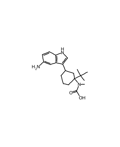 CN(C(=O)O)C1(C(C)(C)C)CCCC(c2c[nH]c3ccc(N)cc23)C1